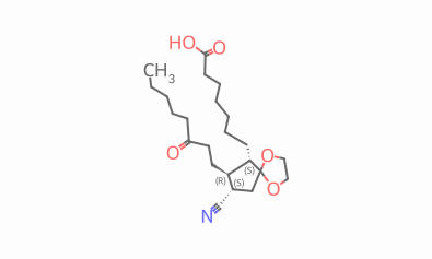 CCCCCC(=O)CC[C@@H]1[C@@H](C#N)CC2(OCCO2)[C@H]1CCCCCCC(=O)O